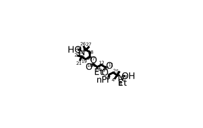 CCCC(CC(C)(C)N(O)CC)OC(=O)CC(CC)C(=O)OC1CC(C)(C)N(O)C(C)(C)C1